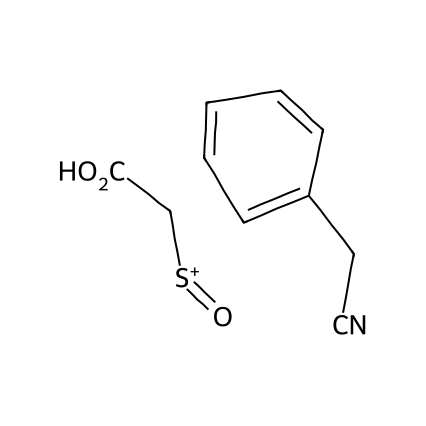 N#CCc1ccccc1.O=[S+]CC(=O)O